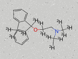 [2H]C([2H])(CN(C([2H])([2H])[2H])C([2H])([2H])[2H])OC([2H])(c1ccccc1)c1ccccc1C([2H])([2H])[2H]